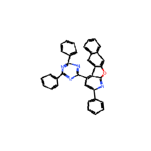 c1ccc(-c2cc(-c3nc(-c4ccccc4)nc(-c4ccccc4)n3)c3c(n2)oc2cc4ccccc4cc23)cc1